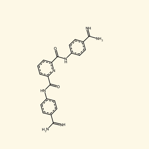 N=C(N)c1ccc(NC(=O)c2cccc(C(=O)Nc3ccc(C(=N)N)cc3)n2)cc1